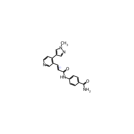 Cn1cc(-c2ccncc2/C=C/C(=O)Nc2ccc(C(N)=O)cc2)cn1